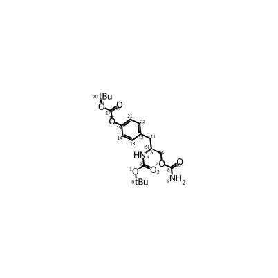 CC(C)(C)OC(=O)N[C@H](COC(N)=O)Cc1ccc(OC(=O)OC(C)(C)C)cc1